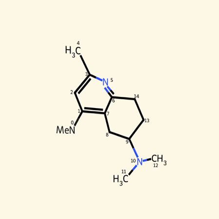 CNc1cc(C)nc2c1CC(N(C)C)CC2